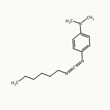 CCCCCCN=C=Nc1ccc(N(C)C)cc1